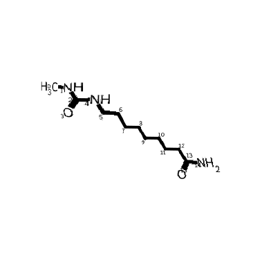 CNC(=O)NCCCCCCCCC(N)=O